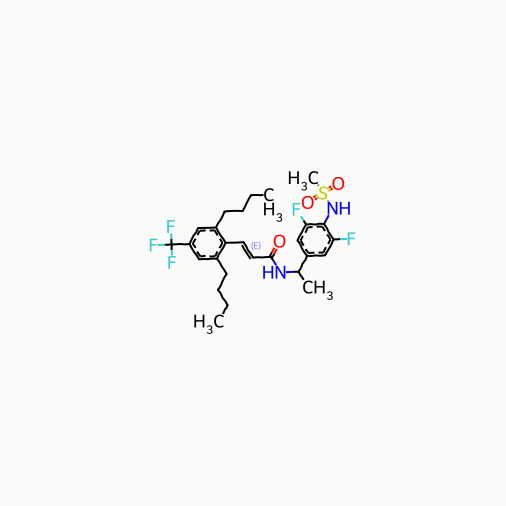 CCCCc1cc(C(F)(F)F)cc(CCCC)c1/C=C/C(=O)NC(C)c1cc(F)c(NS(C)(=O)=O)c(F)c1